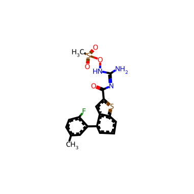 Cc1ccc(F)c(-c2cccc3sc(C(=O)N=C(N)NOS(C)(=O)=O)cc23)c1